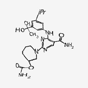 CC(C)c1cc(Nc2nc(N3CCCC(OC(N)=O)C3)ncc2C(N)=O)cc(C(C)(C)O)c1